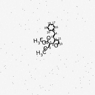 COC=C(C(=O)OC)c1occc1C=Cc1ccccc1